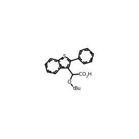 CC(C)(C)OC(C(=O)O)c1c(-c2ccccc2)sc2ccccc12